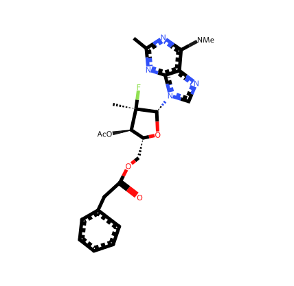 CNc1nc(C)nc2c1ncn2[C@@H]1O[C@H](COC(=O)Cc2ccccc2)[C@@H](OC(C)=O)[C@@]1(C)F